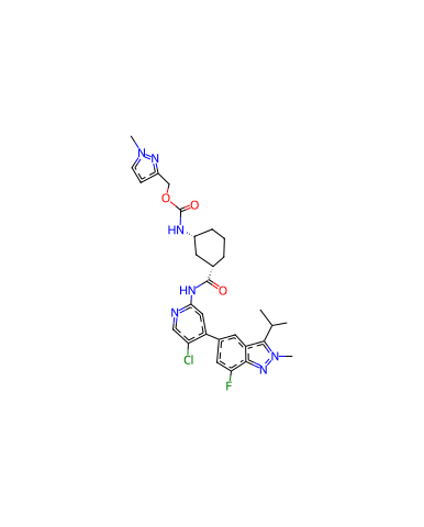 CC(C)c1c2cc(-c3cc(NC(=O)[C@H]4CCC[C@@H](NC(=O)OCc5ccn(C)n5)C4)ncc3Cl)cc(F)c2nn1C